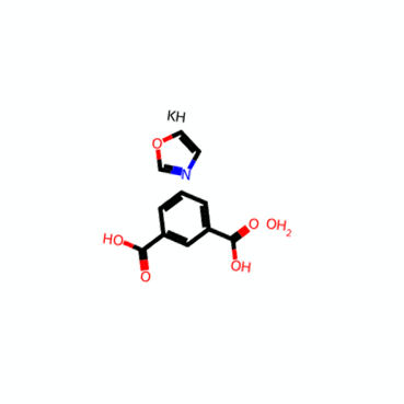 O.O=C(O)c1cccc(C(=O)O)c1.[KH].c1cocn1